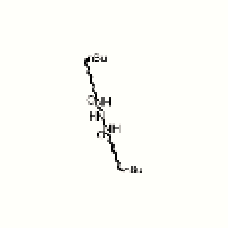 CCCC/C=C\CCCCCCCC(=O)NCCNCCNC(=O)CCCCCCC/C=C\CCCC